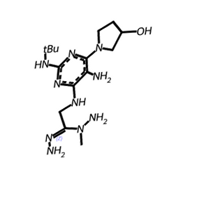 CN(N)/C(CNc1nc(NC(C)(C)C)nc(N2CCC(O)C2)c1N)=N\N